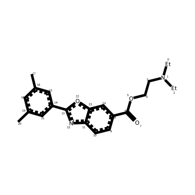 CCN(CC)CCOC(=O)c1ccc2nc(-c3cc(C)cc(C)c3)oc2c1